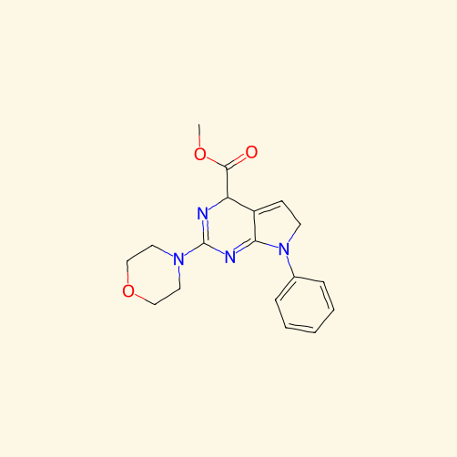 COC(=O)C1N=C(N2CCOCC2)N=C2C1=CCN2c1ccccc1